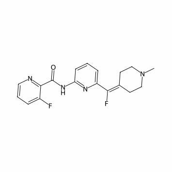 CN1CCC(=C(F)c2cccc(NC(=O)c3ncccc3F)n2)CC1